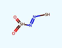 O=[SH](=O)N=NS